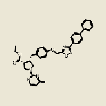 CCOC(=O)[C@H]1CN(c2nccc(C)n2)C[C@H]1Cc1ccc(OCc2nc(-c3ccc(-c4ccccc4)cc3)no2)cc1